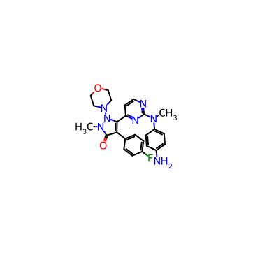 CN(c1ccc(N)cc1)c1nccc(-c2c(-c3ccc(F)cc3)c(=O)n(C)n2N2CCOCC2)n1